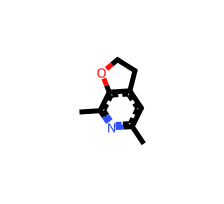 Cc1cc2c(c(C)n1)OCC2